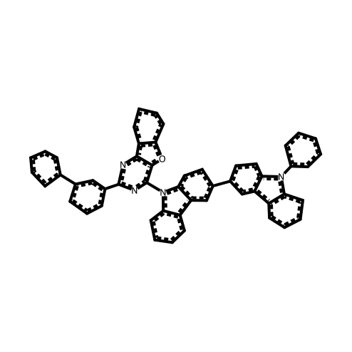 c1ccc(-c2cccc(-c3nc(-n4c5ccccc5c5cc(-c6ccc7c(c6)c6ccccc6n7-c6ccccc6)ccc54)c4oc5ccccc5c4n3)c2)cc1